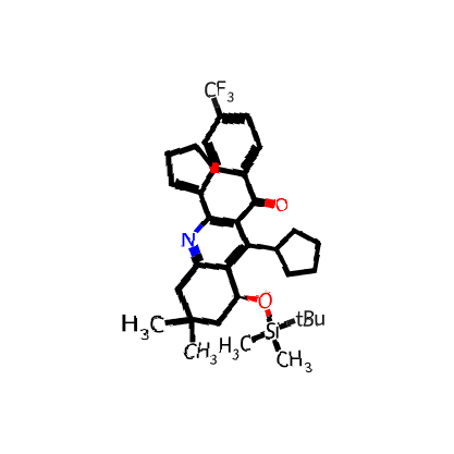 CC1(C)Cc2nc(C3=CCCC3)c(C(=O)c3ccc(C(F)(F)F)cc3)c(C3CCCC3)c2[C@@H](O[Si](C)(C)C(C)(C)C)C1